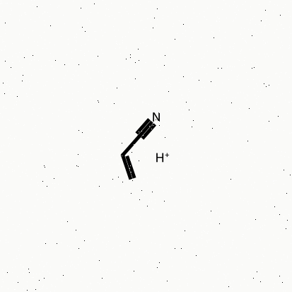 C=CC#N.[H+]